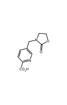 O=C(O)c1ccc(CN2CCOC2=O)cn1